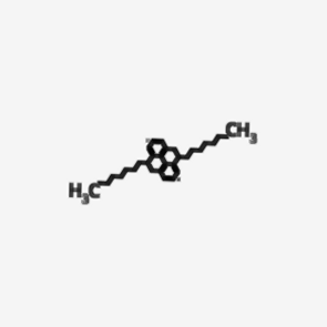 CCCCCCCCC1Cc2c[c]cc3c2-c2c(c[c]cc21)CC3CCCCCCCC